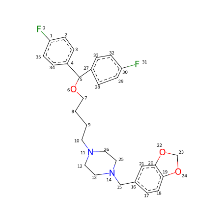 Fc1ccc(C(OCCCCN2CCN(Cc3ccc4c(c3)OCO4)CC2)c2ccc(F)cc2)cc1